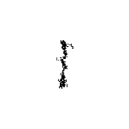 Cn1c2ccncc2c2ccc(-c3ccc(O[C@H]4C[C@H](N(C)C5CC6(C5)CN(C(=O)CCCCOc5ccc7c(c5)C(=O)N(C5CCC(=O)NC5=O)C7=O)C6)C4)nc3)cc21